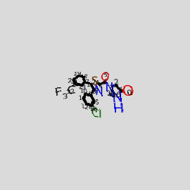 O=C1CN(C(=O)c2nc(-c3cccc(Cl)c3)c(-c3cccc(C(F)(F)F)c3)s2)CN1